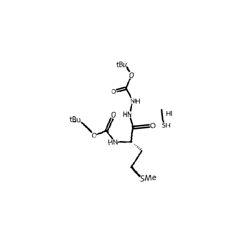 CS.CSCC[C@H](NC(=O)OC(C)(C)C)C(=O)NNC(=O)OC(C)(C)C.I